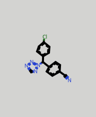 N#Cc1ccc(C(c2ccc(Cl)cc2)n2ncnn2)cc1